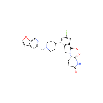 O=C1CCC(N2Cc3c(cc(F)cc3C3CCN(Cc4cc5ccoc5cn4)CC3)C2=O)C(=O)N1